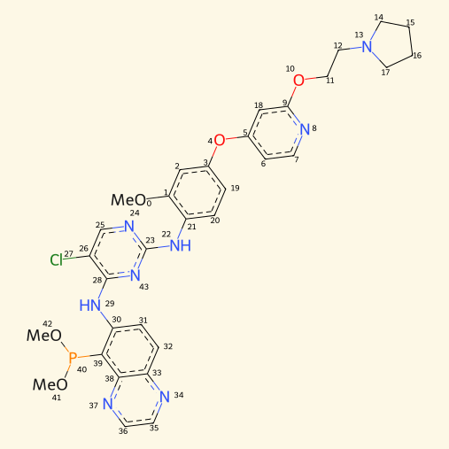 COc1cc(Oc2ccnc(OCCN3CCCC3)c2)ccc1Nc1ncc(Cl)c(Nc2ccc3nccnc3c2P(OC)OC)n1